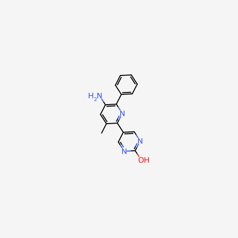 Cc1cc(N)c(-c2ccccc2)nc1-c1cnc(O)nc1